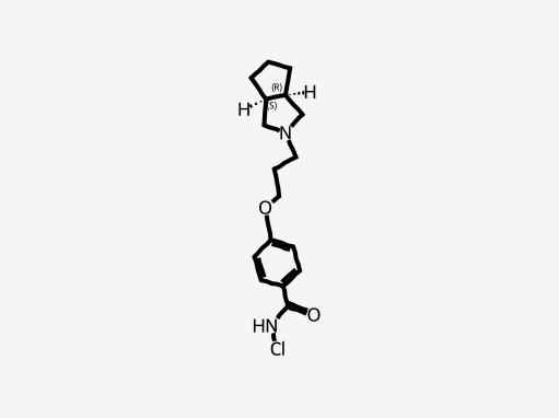 O=C(NCl)c1ccc(OCCCN2C[C@H]3CCC[C@H]3C2)cc1